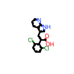 O=C(O)/C(=C\c1c[nH]c2ncccc12)c1c(Cl)cccc1Cl